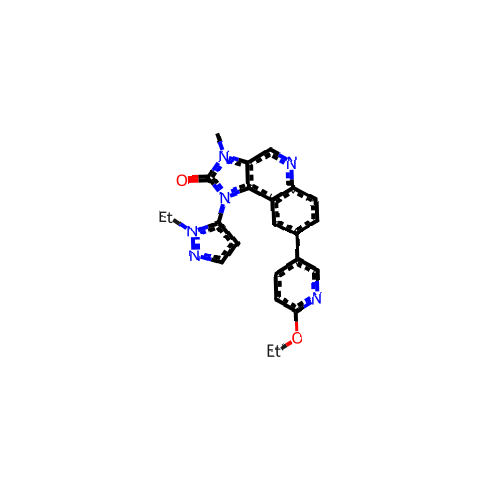 CCOc1ccc(-c2ccc3ncc4c(c3c2)n(-c2ccnn2CC)c(=O)n4C)cn1